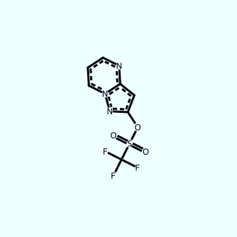 O=S(=O)(Oc1cc2ncccn2n1)C(F)(F)F